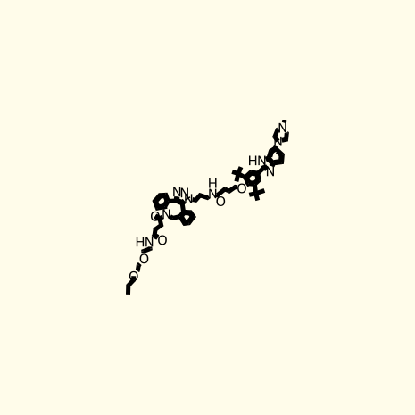 CCCOCCOCCNC(=O)CCC(=O)N1Cc2ccccc2-c2c(nnn2CCCNC(=O)CCCOc2c(C(C)(C)C)cc(-c3nc4ccc(N5CCN(C)CC5)cc4[nH]3)cc2C(C)(C)C)-c2ccccc21